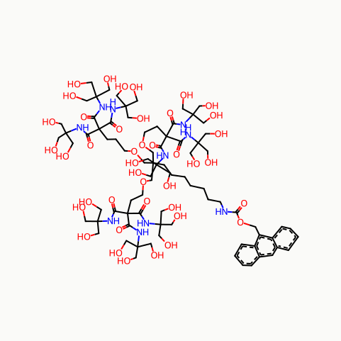 O=C(NCCCCCCCC(COCCCC(C(=O)NC(CO)(CO)CO)(C(=O)NC(CO)(CO)CO)C(=O)NC(CO)(CO)CO)(COCCC(C(=O)NC(CO)(CO)CO)(C(=O)NC(CO)(CO)CO)C(=O)NC(CO)(CO)CO)COCCC(C(=O)NC(CO)(CO)CO)(C(=O)NC(CO)(CO)CO)C(=O)NC(CO)(CO)CO)OCc1c2ccccc2cc2ccccc12